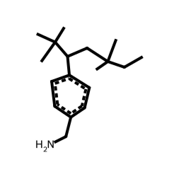 CCC(C)(C)CC(c1ccc(CN)cc1)C(C)(C)C